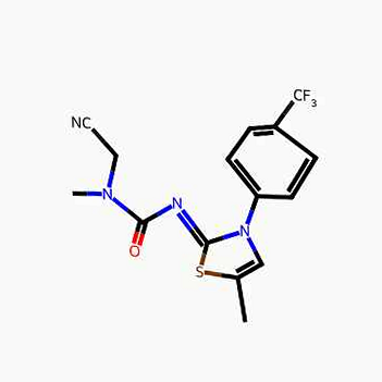 Cc1cn(-c2ccc(C(F)(F)F)cc2)c(=NC(=O)N(C)CC#N)s1